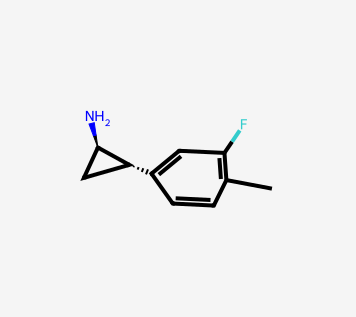 Cc1ccc([C@@H]2C[C@H]2N)cc1F